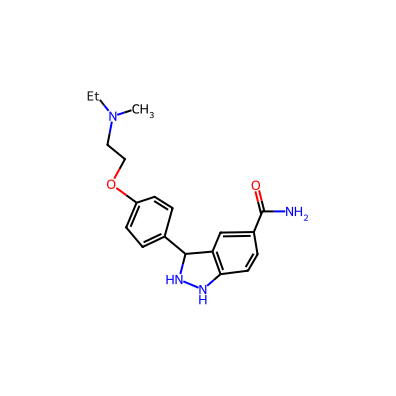 CCN(C)CCOc1ccc(C2NNc3ccc(C(N)=O)cc32)cc1